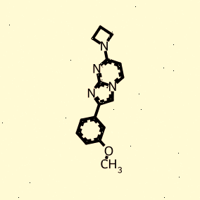 COc1cccc(-c2cn3ccc(N4CCC4)nc3n2)c1